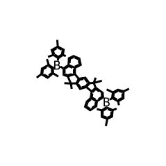 Cc1cc(C)c(B(c2c(C)cc(C)cc2C)c2cc3c(c4ccccc24)-c2cc4c(cc2C3(C)C)-c2c(cc(B(c3c(C)cc(C)cc3C)c3c(C)cc(C)cc3C)c3ccccc23)C4(C)C)c(C)c1